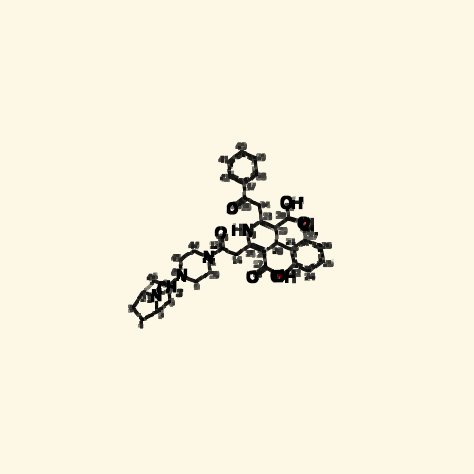 CN1C2CCC1CC(N1CCN(C(=O)CC3=C(C(=O)O)C(c4c(Cl)cccc4Cl)C(C(=O)O)=C(CC(=O)c4ccccc4)N3)CC1)C2